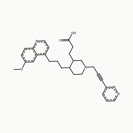 COc1ccc2nccc(CCCC3CCN(CC#Cc4cccnn4)CC3CCC(=O)O)c2c1